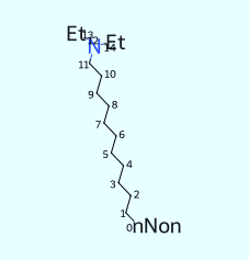 CCCCCCCCCCCCCCCCCCCCN(CC)CC